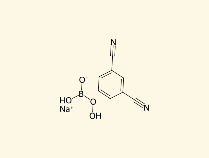 N#Cc1cccc(C#N)c1.[Na+].[O-]B(O)OO